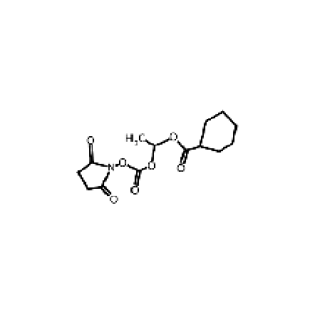 CC(OC(=O)ON1C(=O)CCC1=O)OC(=O)C1CCCCC1